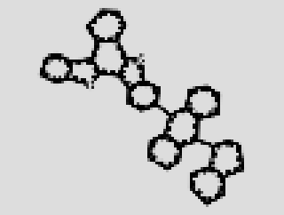 c1ccc2c(-c3c4ccccc4c(-c4ccc5c(c4)sc4c6ccccc6c6c7ccccc7oc6c54)c4ccccc34)cccc2c1